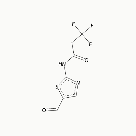 O=Cc1cnc(NC(=O)CC(F)(F)F)s1